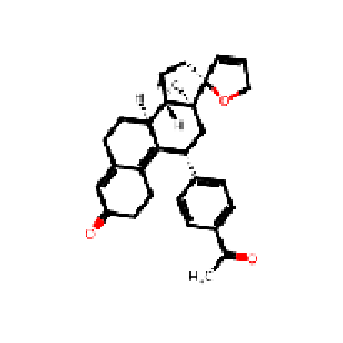 CC(=O)c1ccc([C@H]2C[C@@]3(C)[C@@H](CC[C@@]34C=CCO4)[C@@H]3CCC4=CC(=O)CCC4=C32)cc1